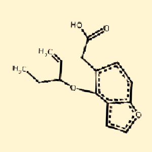 C=CC(CC)Oc1c(CC(=O)O)ccc2occc12